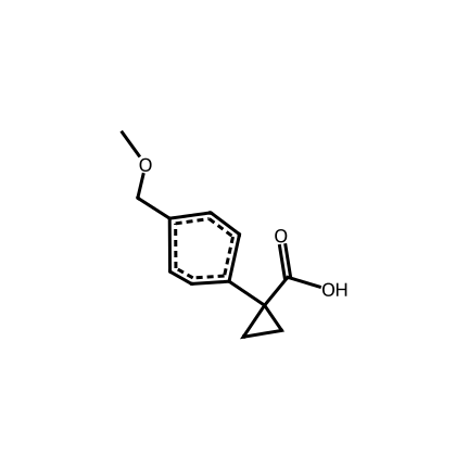 COCc1ccc(C2(C(=O)O)CC2)cc1